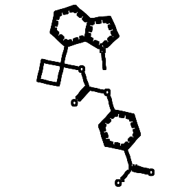 Cn1ccc2cccc(C3(OC(=O)Oc4ccc([N+](=O)[O-])cc4)CCC3)c21